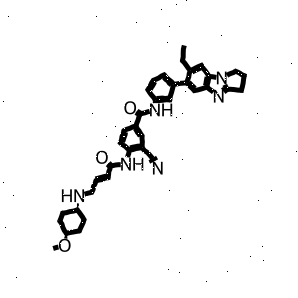 CCc1cc2c(cc1-c1cccc(NC(=O)c3ccc(NC(=O)/C=C/CN[C@H]4CC[C@H](OC)CC4)c(C#N)c3)c1)nc1n2CCC1